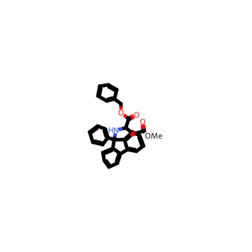 COC(=O)CC(NC1(c2ccccc2)c2ccccc2-c2ccccc21)C(=O)OCc1ccccc1